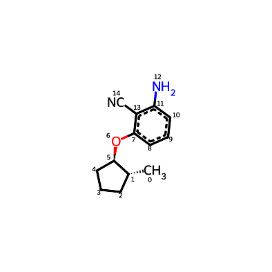 C[C@@H]1CCC[C@H]1Oc1cccc(N)c1C#N